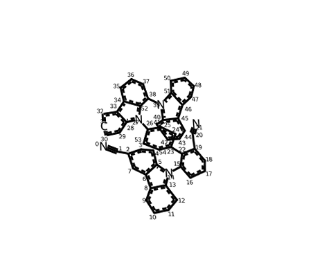 N#Cc1ccc2c(c1)c1ccccc1n2-c1cccc(C#N)c1-c1ccc(-n2c3ccccc3c3cccc(-n4c5ccccc5c5ccccc54)c32)cc1